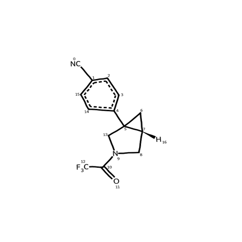 N#Cc1ccc(C23C[C@@H]2CN(C(=O)C(F)(F)F)C3)cc1